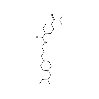 CCC(C)CN1CCN(CCCNC(=O)C2CCC(C(=O)C(C)C)CC2)CC1